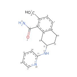 NC(=O)c1c(C(=O)O)ccc2c1CC(Nc1ccccn1)CC2